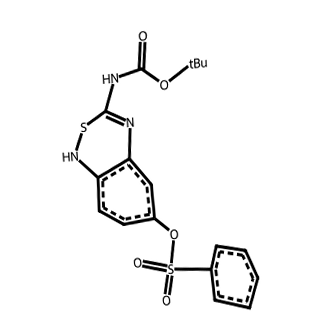 CC(C)(C)OC(=O)NC1=Nc2cc(OS(=O)(=O)c3ccccc3)ccc2NS1